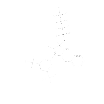 CC1=C(c2cc(C(F)(F)F)cc(C(F)(F)F)c2)N(Cc2ccccc2)C(=O)C1(C)CC(F)(F)C(F)(F)C(F)(F)C(F)(F)F